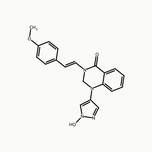 COc1ccc(C=CN2CN(c3cnn(O)c3)c3ccccc3C2=O)cc1